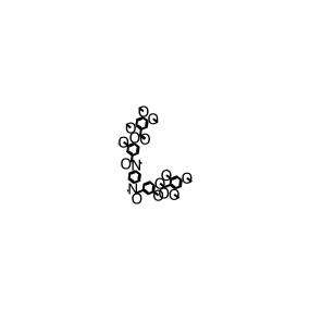 COc1cc(OC)c(C(=O)Oc2ccc(C(=O)N(C)c3ccc(N(C)C(=O)c4ccc(OC(=O)c5cc(OC)c(OC)cc5OC)c(OC)c4)cc3)cc2OC)c(OC)c1